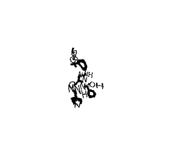 CCOB1OC(C)(C)c2cc(Nc3ncc(-c4nc(-c5ccncc5)no4)c(N[C@H](CO)c4ccccc4)n3)ccc21